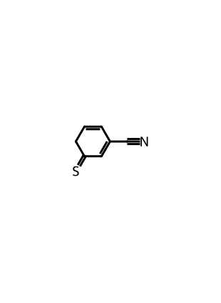 N#CC1=CC(=S)CC=C1